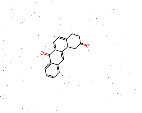 O=C1CCC2=CC=C3C(=O)c4ccccc4C=C3C2C1